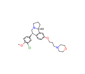 COc1ccc([C@H]2CN3CCC[C@@H]3c3cc(OCCCN4CCOCC4)ccc32)cc1Cl